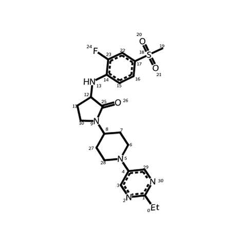 CCc1ncc(N2CCC(N3CCC(Nc4ccc(S(C)(=O)=O)cc4F)C3=O)CC2)cn1